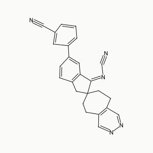 N#CN=C1c2cc(-c3cccc(C#N)c3)ccc2CC12CCc1cnncc1CC2